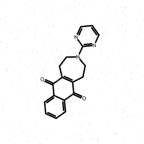 O=C1C2=C(CCN(c3ncccn3)CC2)C(=O)c2ccccc21